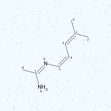 CC(C)=C/C=C\N=C(\C)N